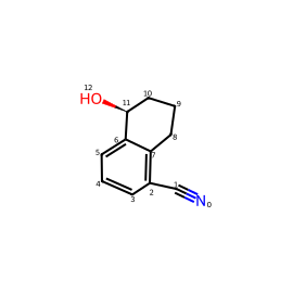 N#Cc1cccc2c1CCC[C@@H]2O